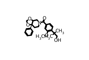 COc1cc(C(=O)N2CC[C@]3(c4ccccc4)OCOC3C2)ccc1C(C)(C)CO